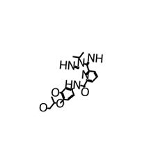 COCC1COc2cc(NC(=O)c3cccc(C(=N)N(C=N)C(C)C)n3)ccc2O1